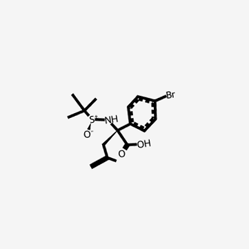 C=C(C)C[C@](N[S@@+]([O-])C(C)(C)C)(C(=O)O)c1ccc(Br)cc1